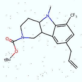 C=CCc1cc2c(c(C(F)(F)F)c1)N(C)C1CCN(C(=O)OC(C)(C)C)CC21